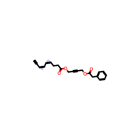 C#C/C=C\C=C/CCC(=O)OCC#CCOC(=O)Cc1ccccc1